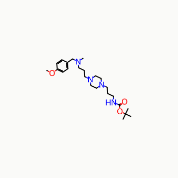 COc1ccc(CN(C)CCCN2CCN(CCCNC(=O)OC(C)(C)C)CC2)cc1